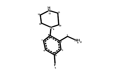 NCc1cc(F)ccc1N1CCNCC1